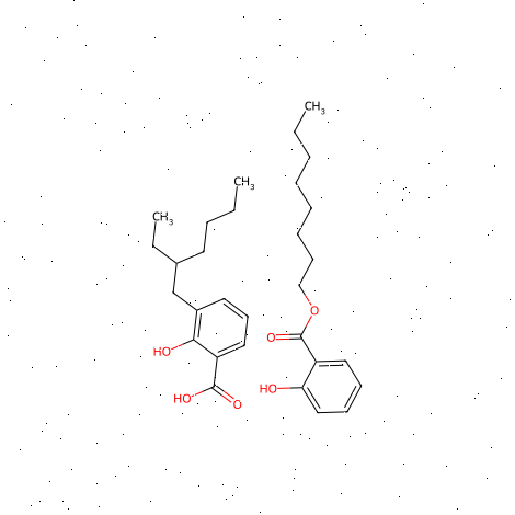 CCCCC(CC)Cc1cccc(C(=O)O)c1O.CCCCCCCCOC(=O)c1ccccc1O